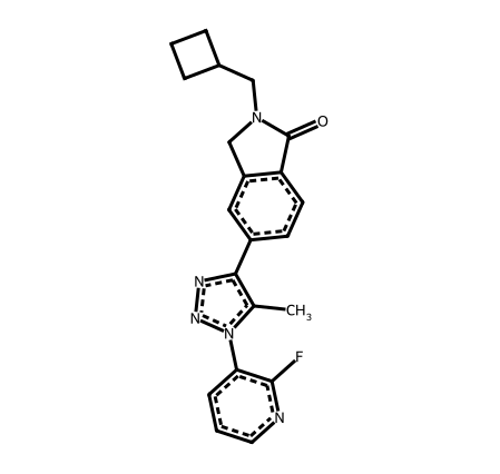 Cc1c(-c2ccc3c(c2)CN(CC2CCC2)C3=O)nnn1-c1cccnc1F